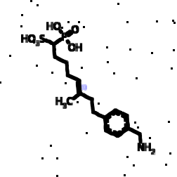 C/C(=C\CCCC(P(=O)(O)O)S(=O)(=O)O)CCc1ccc(CN)cc1